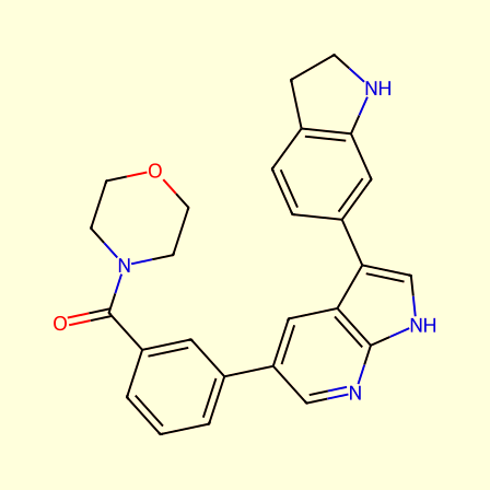 O=C(c1cccc(-c2cnc3[nH]cc(-c4ccc5c(c4)NCC5)c3c2)c1)N1CCOCC1